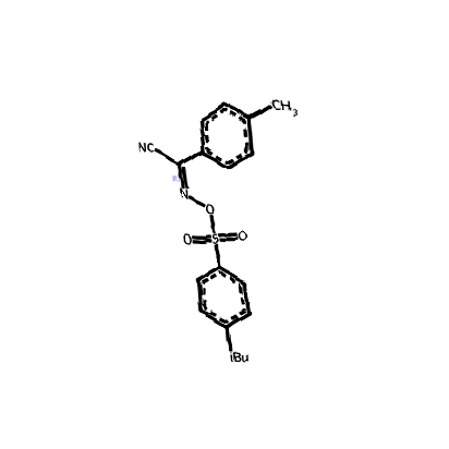 CCC(C)c1ccc(S(=O)(=O)O/N=C(/C#N)c2ccc(C)cc2)cc1